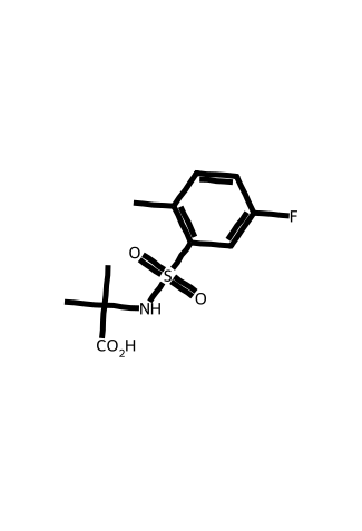 Cc1ccc(F)cc1S(=O)(=O)NC(C)(C)C(=O)O